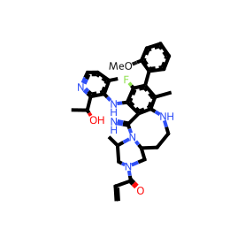 C=CC(=O)N1CC(C)N2C(=N)c3c(c(C)c(-c4ccccc4OC)c(F)c3Nc3c(C)ccnc3C(C)O)NCCC2C1